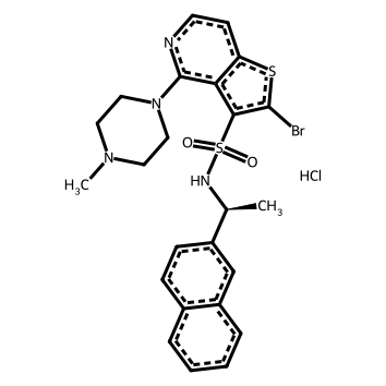 C[C@H](NS(=O)(=O)c1c(Br)sc2ccnc(N3CCN(C)CC3)c12)c1ccc2ccccc2c1.Cl